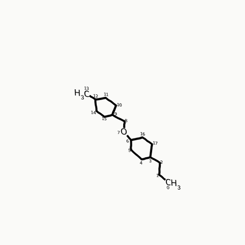 CCCC1CCC(OCC2CCC(C)CC2)CC1